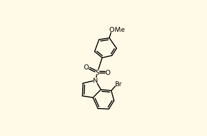 COc1ccc(S(=O)(=O)n2ccc3cccc(Br)c32)cc1